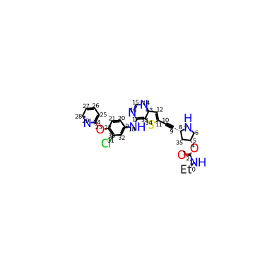 CCNC(=O)O[C@H]1CN[C@@H](C#Cc2cc3ncnc(Nc4ccc(Oc5ccccn5)c(Cl)c4)c3s2)C1